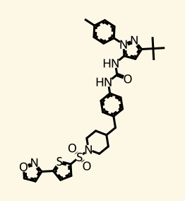 Cc1ccc(-n2nc(C(C)(C)C)cc2NC(=O)Nc2ccc(CC3CCN(S(=O)(=O)c4ccc(-c5ccon5)s4)CC3)cc2)cc1